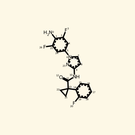 Nc1c(F)cc(-n2ccc(NC(=O)C3(c4ccccc4F)CC3)n2)cc1F